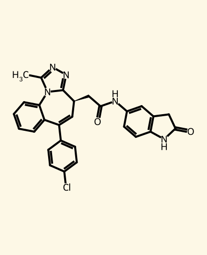 Cc1nnc2n1-c1ccccc1C(c1ccc(Cl)cc1)=C[C@@H]2CC(=O)Nc1ccc2c(c1)CC(=O)N2